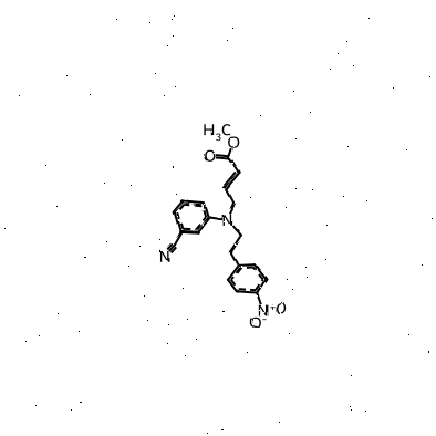 COC(=O)/C=C/CN(CCc1ccc([N+](=O)[O-])cc1)c1cccc(C#N)c1